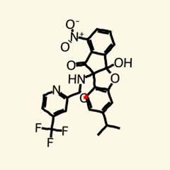 CC(C)c1ccc2c(c1)OC1(O)c3cccc([N+](=O)[O-])c3C(=O)C21NC(=O)c1cc(C(F)(F)F)ccn1